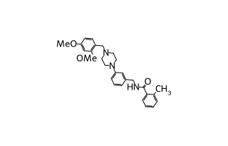 COc1ccc(CN2CCN(c3cccc(CNC(=O)c4ccccc4C)c3)CC2)c(OC)c1